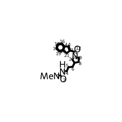 CNC(=O)NCCCC1CCN(C(=O)C2=Cc3ccccc3C2)C1